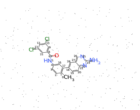 Cc1ccc(NC(=O)c2cc(Cl)cc(Cl)c2)cc1-c1ccc2nc(N)ncc2c1